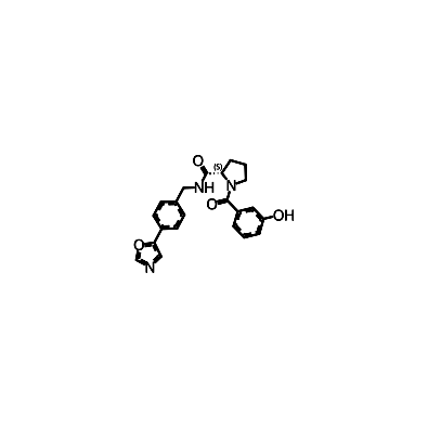 O=C(NCc1ccc(-c2cnco2)cc1)[C@@H]1CCCN1C(=O)c1cccc(O)c1